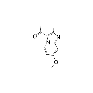 COc1ccn2c(C(C)=O)c(C)nc2c1